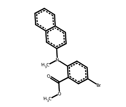 COC(=O)c1cc(Br)ccc1N(C)c1ccc2ccccc2c1